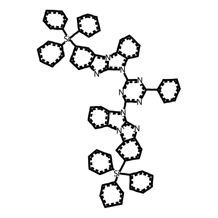 c1ccc(-c2nc(-n3c4ccccc4n4c5cc([Si](c6ccccc6)(c6ccccc6)c6ccccc6)ccc5nc34)nc(-n3c4ccccc4n4c5cc([Si](c6ccccc6)(c6ccccc6)c6ccccc6)ccc5nc34)n2)cc1